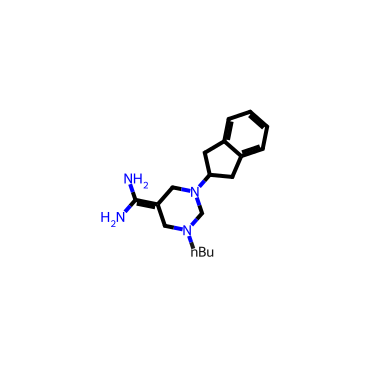 CCCCN1CC(=C(N)N)CN(C2Cc3ccccc3C2)C1